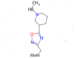 CBN1CCCC(c2nc(CNC)no2)C1